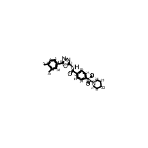 Cc1ccc(-c2nnc(NC(=O)c3ccc(S(=O)(=O)N4CCCCC4)cc3)o2)cc1C